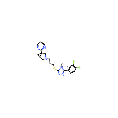 Cn1c(SCCCN2CC3CC3(c3ncccn3)C2)nnc1-c1ccc(F)c(F)c1